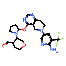 Nc1ncc(N2CCc3ncnc(OC4CCCN4C4COCCC4C=O)c3C2)cc1C(F)(F)F